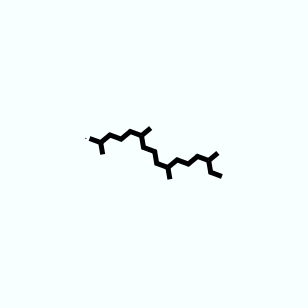 [CH2]C(C)CCCC(C)CCCC(C)CCCC(C)CC